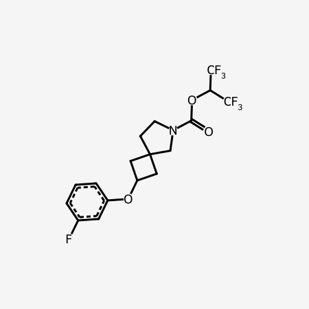 O=C(OC(C(F)(F)F)C(F)(F)F)N1CCC2(CC(Oc3cccc(F)c3)C2)C1